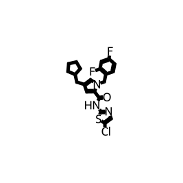 O=C(Nc1ncc(Cl)s1)c1cc(CC2CCCC2)cn1Cc1ccc(F)cc1F